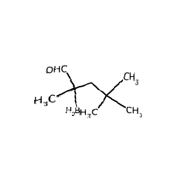 BC(C)(C=O)CC(C)(C)C